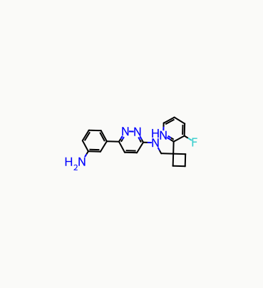 Nc1cccc(-c2ccc(NCC3(c4ncccc4F)CCC3)nn2)c1